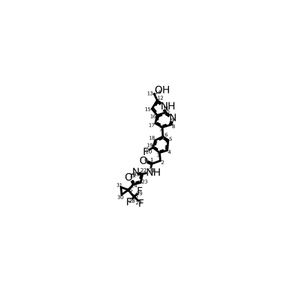 O=C(Cc1ccc(-c2cnc3[nH]c(CO)cc3c2)cc1F)Nc1cc(C2(C(F)(F)F)CC2)on1